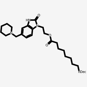 CCCCCCCCCCCCCCCCCC(=O)OCCn1c(=O)[nH]c2cc(CN3CCCCC3)ccc21